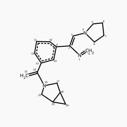 C=N/C(=C\N1CCCC1)c1cccc(C(=C)N2CC3CC3C2)c1